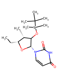 CC[C@H]1O[C@@H](n2ccc(=O)[nH]c2=O)C(O[Si](C)(C)C(C)(C)C)[C@H]1C